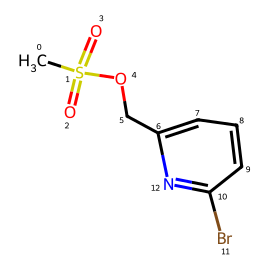 CS(=O)(=O)OCc1cccc(Br)n1